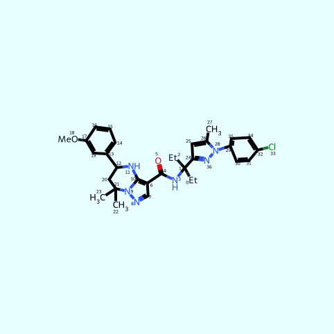 CCC(CC)(NC(=O)c1cnn2c1NC(c1cccc(OC)c1)CC2(C)C)c1cc(C)n(-c2ccc(Cl)cc2)n1